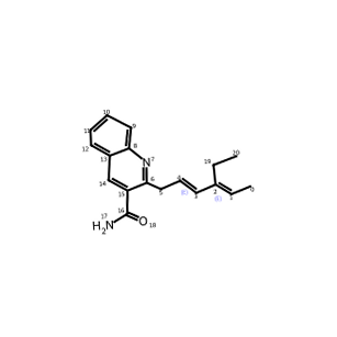 C/C=C(/C=C/Cc1nc2ccccc2cc1C(N)=O)CC